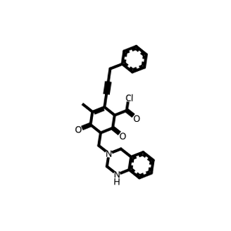 CC1=C(C#CCc2ccccc2)C(C(=O)Cl)C(=O)C(CN2CNc3ccccc3C2)C1=O